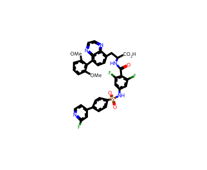 COc1cccc(OC)c1-c1ccc(CC(NC(=O)c2c(F)cc(NS(=O)(=O)c3ccc(-c4ccnc(F)c4)cc3)cc2F)C(=O)O)c2nccnc12